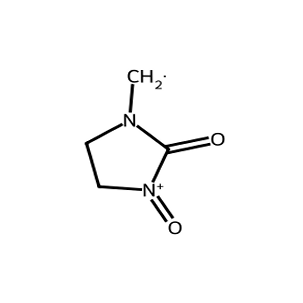 [CH2]N1CC[N+](=O)C1=O